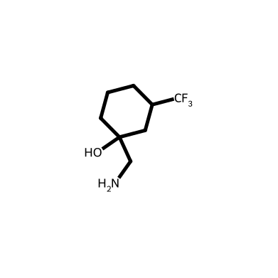 NCC1(O)CCCC(C(F)(F)F)C1